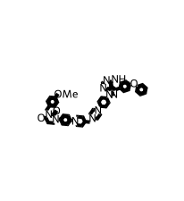 COc1ccc(CN2C(=O)CCN(c3ccc(N4CCC(CN5CCN(C6CCC(n7nc(-c8ccc(Oc9ccccc9)cc8)c8c(N)ncnc87)CC6)CC5)CC4)cc3)C2=O)cc1